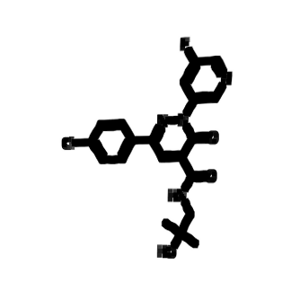 CC(C)(O)CNC(=O)c1cc(-c2ccc(Cl)cc2)nn(-c2cncc(F)c2)c1=O